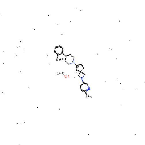 COc1ccccc1C1CCN([C@@H]2CCC3(C2)CN(c2ccc(C)nc2)C3)CC1.O=CO